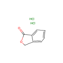 Cl.Cl.O=C1OCc2ccccc21